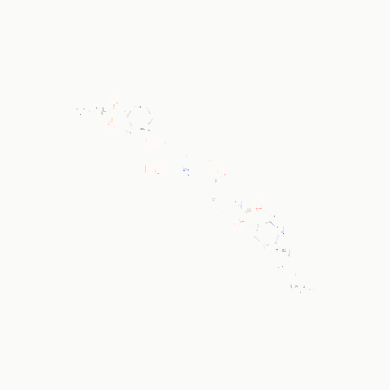 CNS(=O)(=O)c1cccc(OCC(O)CNC2COC3(CCN(S(=O)(=O)c4ccc(NCCOC)nc4)CC3)C2)c1